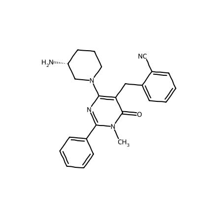 Cn1c(-c2ccccc2)nc(N2CCC[C@@H](N)C2)c(Cc2ccccc2C#N)c1=O